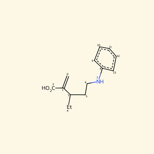 C=C(C(=O)O)C(CC)CCNc1ccccc1